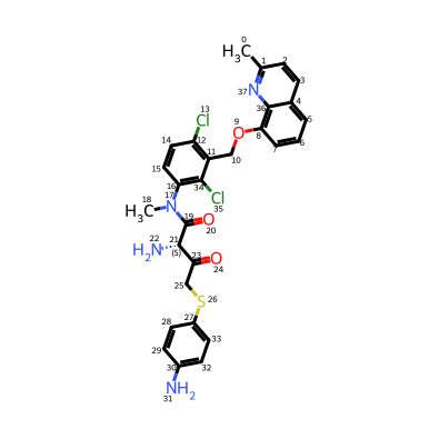 Cc1ccc2cccc(OCc3c(Cl)ccc(N(C)C(=O)[C@@H](N)C(=O)CSc4ccc(N)cc4)c3Cl)c2n1